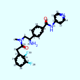 CN(CC(N)c1ccc(C(=O)Nc2ccncc2)cc1)C(=O)Cc1cccc(F)c1F